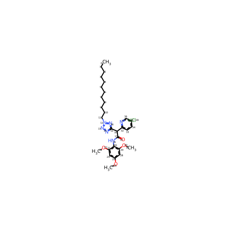 CCCCCCCCCCCCn1nnc(C(C(=O)Nc2c(OC)cc(OC)cc2OC)c2ccccn2)n1.Cl